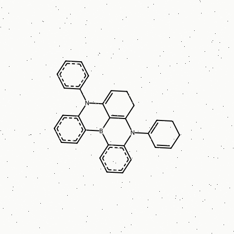 C1=CC(N2C3=C4B(c5ccccc52)c2ccccc2N(c2ccccc2)C4=CCC3)=CCC1